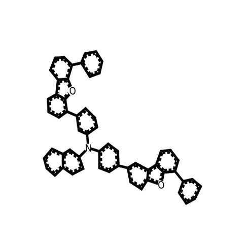 c1ccc(-c2cccc3c2oc2ccc(-c4ccc(N(c5cccc(-c6cccc7c6oc6c(-c8ccccc8)cccc67)c5)c5ccc6ccccc6c5)cc4)cc23)cc1